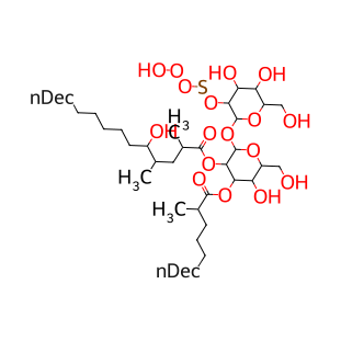 CCCCCCCCCCCCCCCC(O)C(C)CC(C)C(=O)OC1C(OC2OC(CO)C(O)C(O)C2OSOOO)OC(CO)C(O)C1OC(=O)C(C)CCCCCCCCCCCCC